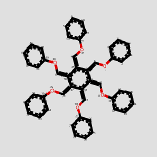 C(Oc1ccccc1)=c1c(=COc2ccccc2)c(=COc2ccccc2)c(=COc2ccccc2)c(=COc2ccccc2)c1=COc1ccccc1